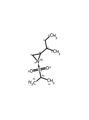 CCC(C)C1C[N@]1S(=O)(=O)C(C)C